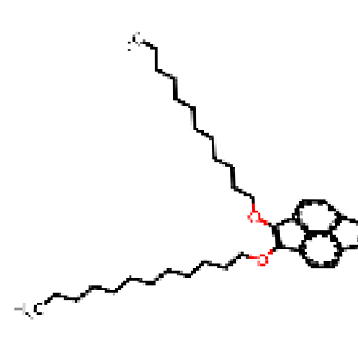 CCCCCCCCCCCCOC1=C(OCCCCCCCCCCCC)c2ccc3c4c(ccc1c24)C=C3